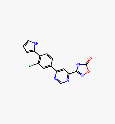 O=c1[nH]c(-c2cc(-c3ccc(-c4ccc[nH]4)c(Cl)c3)ncn2)no1